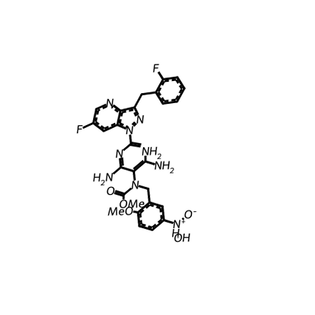 C=C(/N=C(/N)C(=C(N)N)N(Cc1cc([NH+]([O-])O)ccc1OC)C(=O)OC)n1nc(Cc2ccccc2F)c2ncc(F)cc21